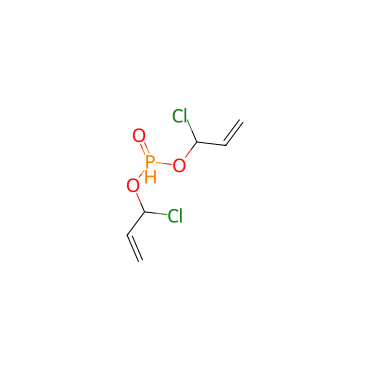 C=CC(Cl)O[PH](=O)OC(Cl)C=C